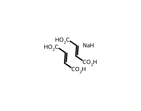 O=C(O)C=CC(=O)O.O=C(O)C=CC(=O)O.[NaH]